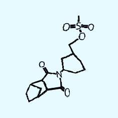 CS(=O)(=O)OCC1CCCC(N2C(=O)C3C4CCC(C4)C3C2=O)C1